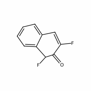 O=C1C(F)=Cc2ccccc2C1F